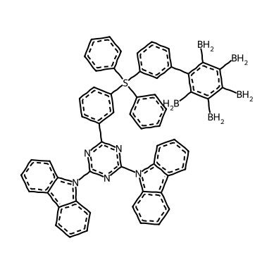 Bc1c(B)c(B)c(-c2cccc(S(c3ccccc3)(c3ccccc3)c3cccc(-c4nc(-n5c6ccccc6c6ccccc65)nc(-n5c6ccccc6c6ccccc65)n4)c3)c2)c(B)c1B